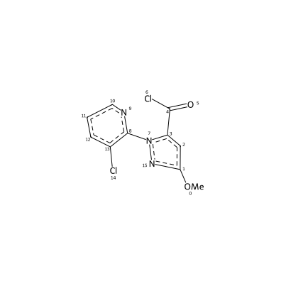 COc1cc(C(=O)Cl)n(-c2ncccc2Cl)n1